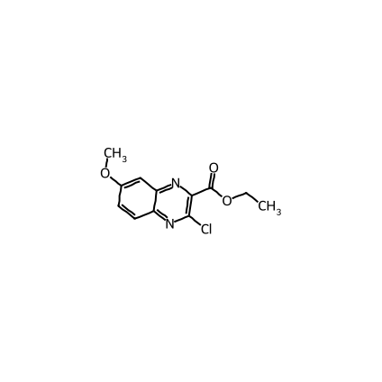 CCOC(=O)c1nc2cc(OC)ccc2nc1Cl